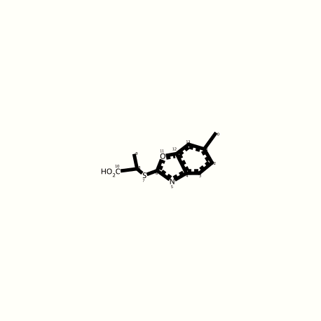 Cc1ccc2nc(SC(C)C(=O)O)oc2c1